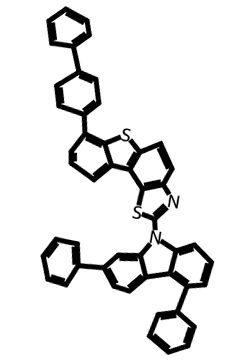 c1ccc(-c2ccc(-c3cccc4c3sc3ccc5nc(-n6c7cc(-c8ccccc8)ccc7c7c(-c8ccccc8)cccc76)sc5c34)cc2)cc1